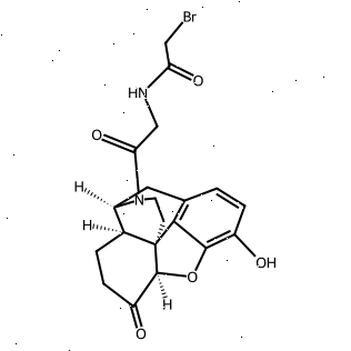 O=C(CBr)NCC(=O)N1CC[C@]23c4c5ccc(O)c4O[C@H]2C(=O)CC[C@H]3[C@H]1C5